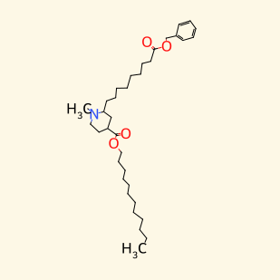 CCCCCCCCCCCCOC(=O)C1CCN(C)C(CCCCCCCCC(=O)OCc2ccccc2)C1